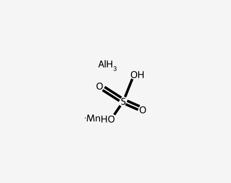 O=S(=O)(O)O.[AlH3].[Mn]